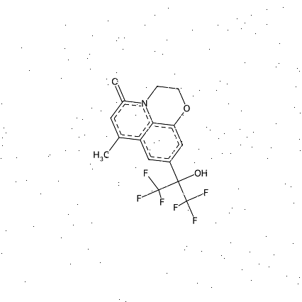 Cc1cc(=O)n2c3c(cc(C(O)(C(F)(F)F)C(F)(F)F)cc13)OCC2